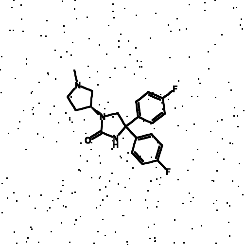 CN1CC[C@H](N2CC(c3ccc(F)cc3)(c3ccc(F)cc3)NC2=O)C1